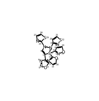 [C]1=C(c2conn2)S(c2ccon2)(c2ncco2)N(c2ccsn2)N1c1nccs1